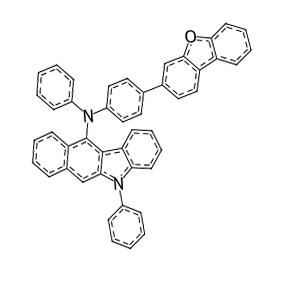 c1ccc(N(c2ccc(-c3ccc4c(c3)oc3ccccc34)cc2)c2c3ccccc3cc3c2c2ccccc2n3-c2ccccc2)cc1